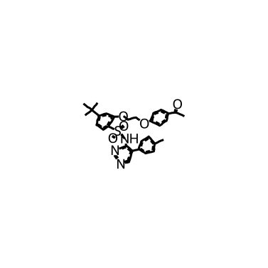 CC(=O)c1ccc(OCCOc2cc(C(C)(C)C)ccc2S(=O)(=O)Nc2ncncc2-c2ccc(C)cc2)cc1